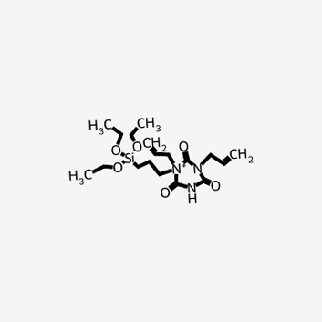 C=CCN1C(=O)NC(=O)[N+](CC=C)(CCC[Si](OCC)(OCC)OCC)C1=O